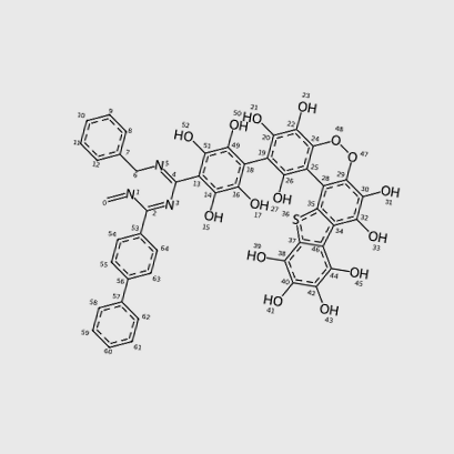 C=N/C(=N\C(=N/Cc1ccccc1)c1c(O)c(O)c(-c2c(O)c(O)c3c(c2O)-c2c(c(O)c(O)c4c2sc2c(O)c(O)c(O)c(O)c24)OO3)c(O)c1O)c1ccc(-c2ccccc2)cc1